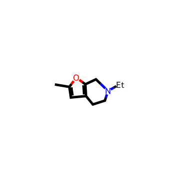 CCN1CCc2cc(C)oc2C1